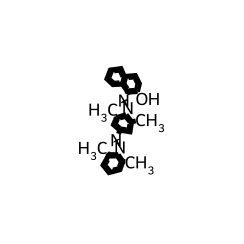 Cc1cccc(C)c1/N=N/c1cc(C)c(/N=N/c2c(O)ccc3ccccc23)c(C)c1